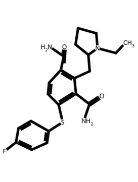 CCN1CCCC1Cc1c(C(N)=O)ccc(Sc2ccc(F)cc2)c1C(N)=O